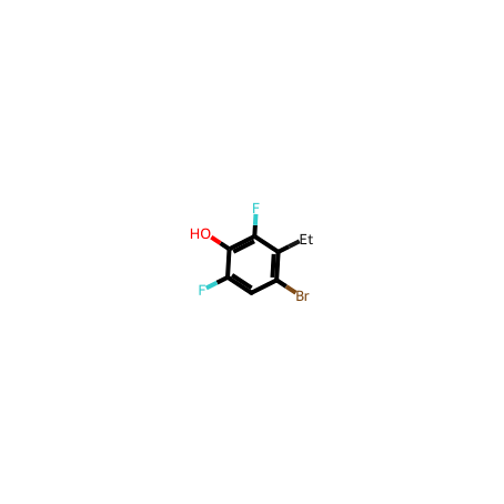 CCc1c(Br)cc(F)c(O)c1F